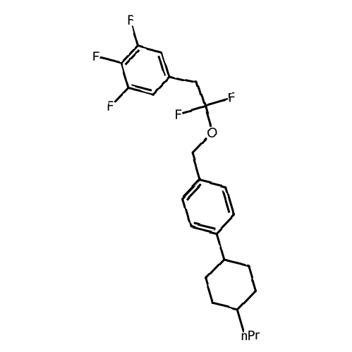 CCCC1CCC(c2ccc(COC(F)(F)Cc3cc(F)c(F)c(F)c3)cc2)CC1